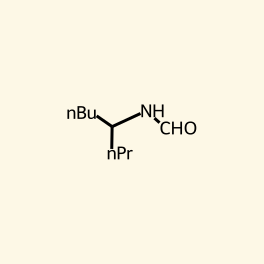 CCCCC(CCC)NC=O